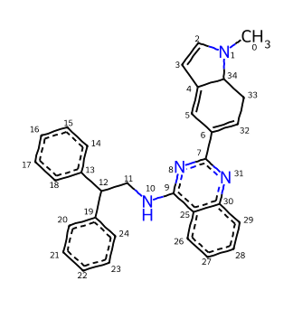 CN1C=CC2=CC(c3nc(NCC(c4ccccc4)c4ccccc4)c4ccccc4n3)=CCC21